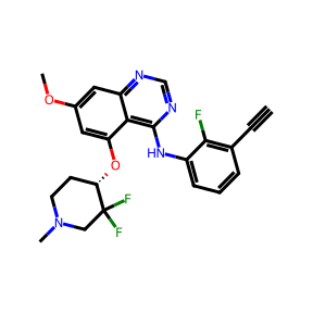 C#Cc1cccc(Nc2ncnc3cc(OC)cc(O[C@H]4CCN(C)CC4(F)F)c23)c1F